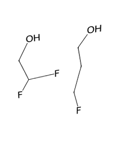 OCC(F)F.OCCCF